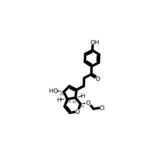 O=C(CCC1=C[C@@H](O)[C@@H]2C=CO[C@@H](OCCl)[C@H]12)c1ccc(O)cc1